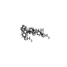 CNc1ccc(C(=O)N[C@@H]2CCC[C@H](Nc3cc(C(F)(F)F)nc4ccc(C)cc34)C2)cc1